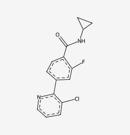 O=C(NC1CC1)c1ccc(-c2ncccc2Cl)cc1F